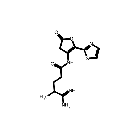 CC(CCC(=O)NC1=C(c2nccs2)OC(=O)C1)C(=N)N